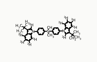 [2H]c1c([2H])c([2H])c2c(c1[2H])c(C(C)(C)C)c([2H])n2-c1ccc([Si](C)(C)c2ccc(-n3c([2H])c(C(C)(C)C)c4c([2H])c([2H])c([2H])c([2H])c43)cc2)cc1